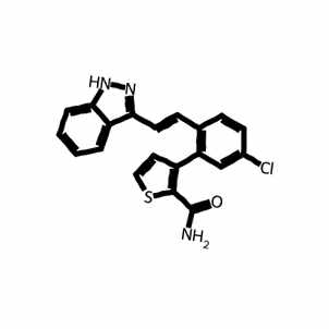 NC(=O)c1sccc1-c1cc(Cl)ccc1C=Cc1n[nH]c2ccccc12